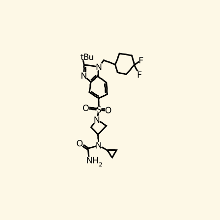 CC(C)(C)c1nc2cc(S(=O)(=O)N3CC(N(C(N)=O)C4CC4)C3)ccc2n1CC1CCC(F)(F)CC1